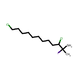 CC([SiH3])(I)C(Cl)CCCCCCCCCCl